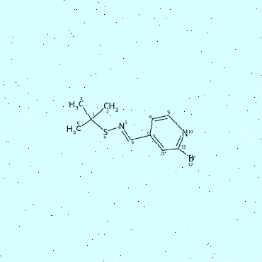 CC(C)(C)S/N=C/c1ccnc(Br)c1